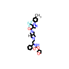 Cc1ccc(-n2ncc(C(=O)N3CC4CN(CCC(NC(=O)OC5CCOC5)c5ccccc5)C[C@H]4C3)c2C(F)(F)F)cc1